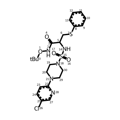 CC(C)(C)ONC(=O)C(CSc1ccccc1)NS(=O)(=O)N1CCN(c2ccc(Cl)cn2)CC1